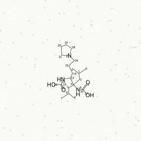 CC(C)CC(CC(C)C)(NC(=O)O)C(CCCN1CCCC1)NC(=O)O